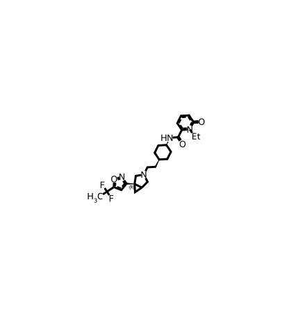 CCn1c(C(=O)N[C@H]2CC[C@H](CCN3CC4C[C@]4(c4cc(C(C)(F)F)on4)C3)CC2)cccc1=O